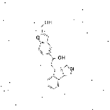 OCc1cc2cc(C(O)CC3c4ccccc4-c4cncn43)ccc2o1